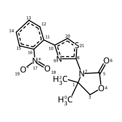 CC1(C)COC(=O)N1c1nc(-c2ccccc2[N+](=O)[O-])cs1